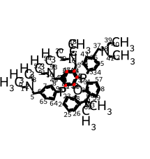 CCN(CC)Cc1ccc(P(c2ccc(CN(CC)CC)cc2)c2cccc3c2Oc2c(P(c4ccc(CN(CC)CC)cc4)c4ccc(CN(CC)CC)cc4)cccc2C3(C)C)cc1